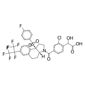 O=C(O)C(O)c1ccc(C(=O)N2CC[C@@]3(S(=O)(=O)c4ccc(F)cc4)c4ccc(C(F)(C(F)(F)F)C(F)(F)F)cc4CC[C@@H]23)cc1Cl